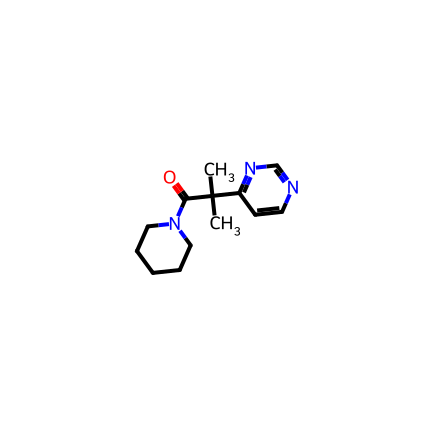 CC(C)(C(=O)N1CCCCC1)c1ccncn1